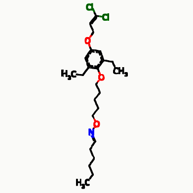 CCCCCC=NOCCCCCOc1c(CC)cc(OCC=C(Cl)Cl)cc1CC